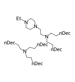 CCCCCCCCCCCCN(CCCCCCCCCCCC)CCCCCCCCCCCC.CCCCCCCCCCCCN(CCCCCCCCCCCC)CCN1CCN(CC)CC1